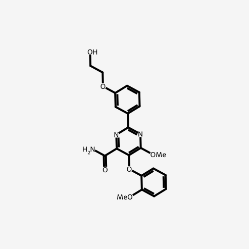 COc1ccccc1Oc1c(OC)nc(-c2cccc(OCCO)c2)nc1C(N)=O